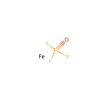 O=P(F)(F)F.[Fe]